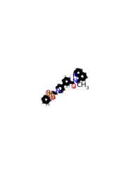 C[C@@H](NC(=O)c1cccc(C2CCN(CCS(=O)(=O)c3ccccc3)CC2)c1)c1cccc2ccccc12